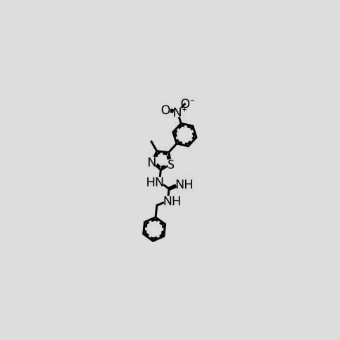 Cc1nc(NC(=N)NCc2ccccc2)sc1-c1cccc([N+](=O)[O-])c1